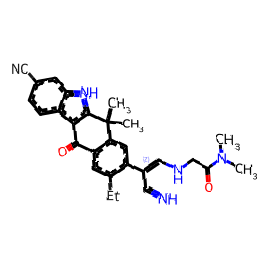 CCc1cc2c(cc1/C(C=N)=C/NCC(=O)N(C)C)C(C)(C)c1[nH]c3cc(C#N)ccc3c1C2=O